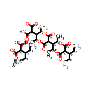 CCC(CC)C(C(=O)[O-])C(=O)[O-].CCC(CC)C(C(=O)[O-])C(=O)[O-].CCC(CC)C(C(=O)[O-])C(=O)[O-].CCC(CC)C(C(=O)[O-])C(=O)[O-].[Ti+4].[Ti+4]